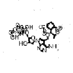 CC(C)C(OCc1cn([C@H]2CC(O)[C@@H](COP(=O)(O)OP(=O)(O)OP(=O)(O)O)O2)c2ncnc(N)c12)c1c([N+](=O)[O-])cccc1[N+](=O)[O-]